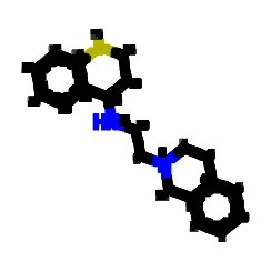 c1ccc2c(c1)CCN(CCNC1CCSc3ccccc31)C2